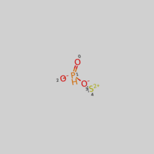 O=[PH]([O-])[O-].[S+2]